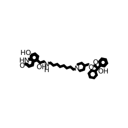 O=C(OCC1CCN(CCCCCCCCNCC(O)c2ccc(O)c3[nH]c(=O)ccc23)CC1)C(O)(c1ccccc1)C1CCCCC1